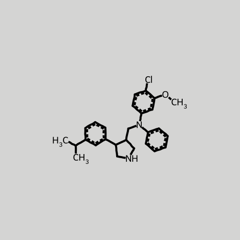 COc1cc(N(CC2CNCC2c2cccc(C(C)C)c2)c2ccccc2)ccc1Cl